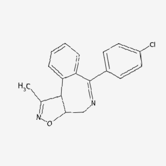 CC1=NOC2CN=C(c3ccc(Cl)cc3)c3ccccc3C12